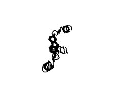 Cl.Cl.c1cc2c(cc1OCCN1CCOCC1)Cc1cc(OCCN3CCOCC3)ccc1-2